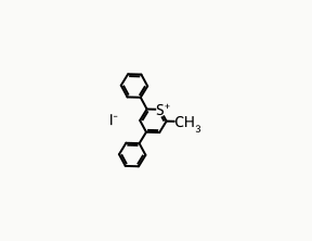 Cc1cc(-c2ccccc2)cc(-c2ccccc2)[s+]1.[I-]